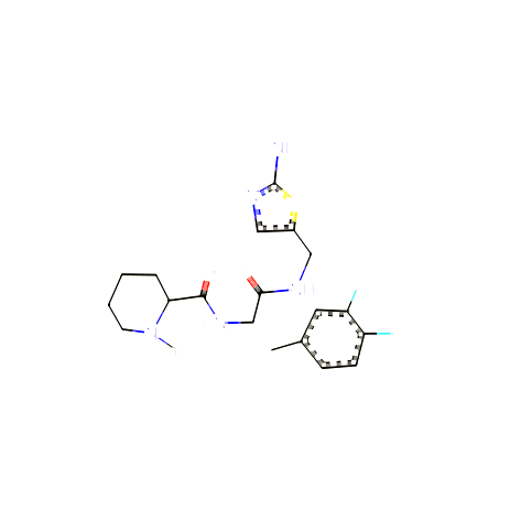 CC(C)N1CCCCC1C(=O)N[C@@H](Cc1ccc(F)c(F)c1)C(=O)NCc1cnc(N)s1